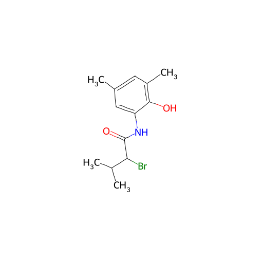 Cc1cc(C)c(O)c(NC(=O)C(Br)C(C)C)c1